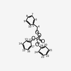 O=P(OOCc1ccccc1)(Oc1ccccc1)Oc1ccccc1